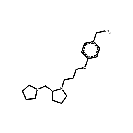 NCc1ccc(OCCCN2CCC[C@H]2CN2CCCC2)cc1